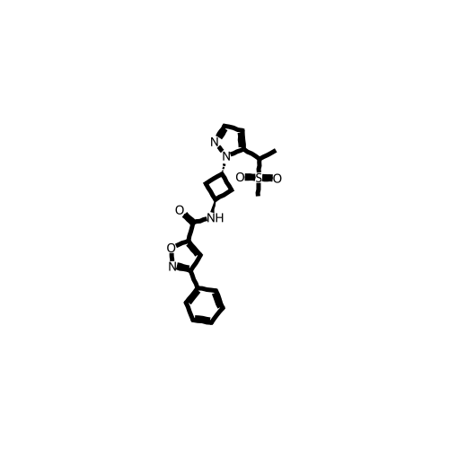 CC(c1ccnn1[C@H]1C[C@H](NC(=O)c2cc(-c3ccccc3)no2)C1)S(C)(=O)=O